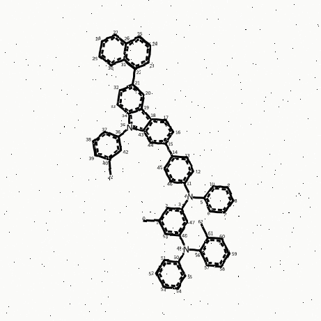 Cc1cc(N(c2ccccc2)c2ccc(-c3ccc4c5cc(-c6cccc7ccccc67)ccc5n(-c5cccc(C)c5)c4c3)cc2)cc(N(c2ccccc2)c2ccccc2C)c1